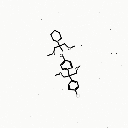 COCC(C)(COC)C1CCCCC1.COCC(COC)(c1ccc(Cl)cc1)c1ccc(Cl)cc1